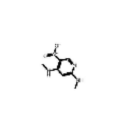 CNc1cc(NC)c([N+](=O)[O-])cn1